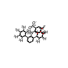 [2H]c1c([2H])c([2H])c(-c2cccc(-c3c([2H])c([2H])c([2H])c([2H])c3[2H])c2Nc2cc(Br)c(F)cc2[N+](=O)[O-])c([2H])c1[2H]